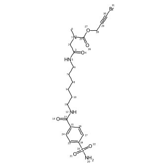 CN(CC(=O)NCCCCCCNC(=O)c1ccc(S(N)(=O)=O)cc1)C(=O)OCC#CBr